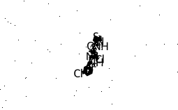 [O-][S+](Nc1cscn1)c1cnc(NCc2cc(Cl)ccc2F)c(Cl)c1